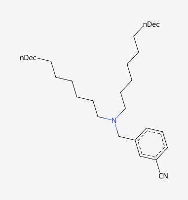 CCCCCCCCCCCCCCCCN(CCCCCCCCCCCCCCCC)Cc1cccc(C#N)c1